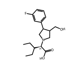 CCC(CC)[C@H](C(=O)O)N1CC(CO)C(c2cccc(F)c2)C1